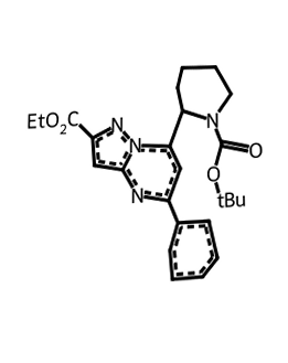 CCOC(=O)c1cc2nc(-c3ccccc3)cc(C3CCCCN3C(=O)OC(C)(C)C)n2n1